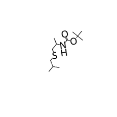 CC(C)CSCC(C)NC(=O)OC(C)(C)C